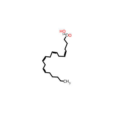 CCCCC/C=C\C/C=C\C/C=C\C/C=C\CCC[14C](=O)O